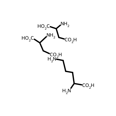 NC(CC(=O)O)C(=O)O.NC(CC(=O)O)C(=O)O.NCCCC(N)C(=O)O